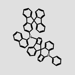 c1ccc(N2c3ccccc3C3(c4ccccc4-c4c(N(c5ccc6c(c5)C5(c7ccccc7-c7ccccc75)c5ccccc5-6)c5cccc6ccccc56)cccc43)c3ccccc32)cc1